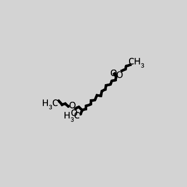 CCCCCOC(=O)CCCCCCCCCCCCCC(CC)CC(=O)OCCCCC